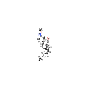 CCON=C1C=C2C(=O)C[C@H]3[C@@H]4CC[C@H]([C@H](C)CCCC(C)C)[C@@]4(C)CC[C@@H]3[C@@]2(C)CC1